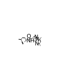 C#CC(=C)/C=C\C(C)NC(=O)C/C=N\N1C(C)=CC(C)=NC1C